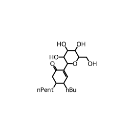 CCCCCC1CC(=O)C(C2OC(CO)C(O)C(O)C2O)=CC1CCCC